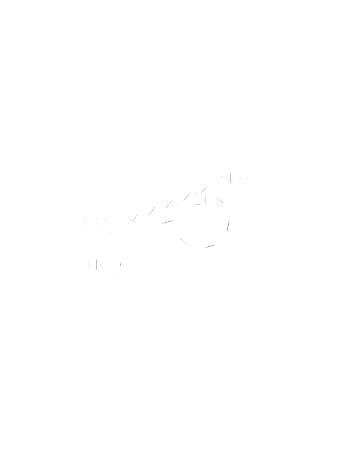 CC/C=C\C/C=C\C/C=C\C/C=C\C/C=C\CCCCCC(=O)O.CCCCCCCCCCCC=CC=CC=CC=CC=CC(=O)O